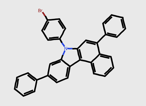 Brc1ccc(-n2c3cc(-c4ccccc4)ccc3c3c4ccccc4c(-c4ccccc4)cc32)cc1